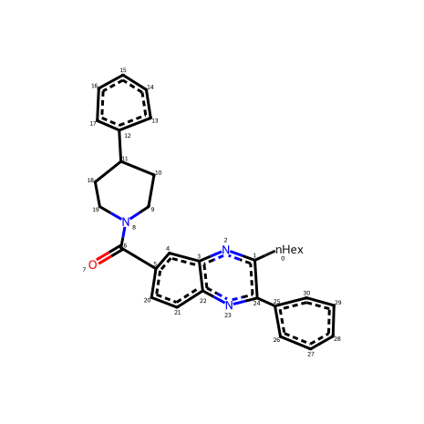 CCCCCCc1nc2cc(C(=O)N3CCC(c4ccccc4)CC3)ccc2nc1-c1ccccc1